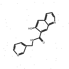 O=C(NCc1cccnc1)c1cc2ncccc2cc1O